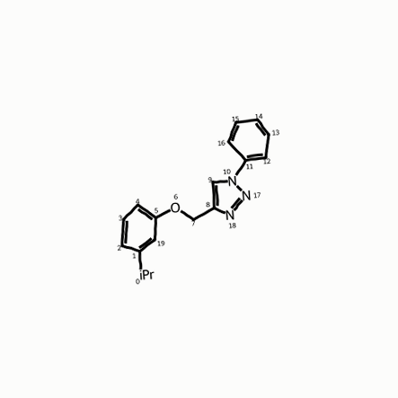 CC(C)c1cccc(OCc2cn(-c3ccccc3)nn2)c1